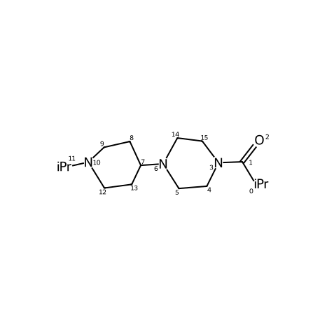 CC(C)C(=O)N1CCN(C2CCN(C(C)C)CC2)CC1